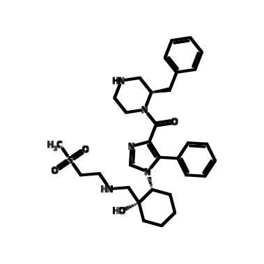 CS(=O)(=O)CCNC[C@]1(O)CCCC[C@H]1n1cnc(C(=O)N2CCNC[C@H]2Cc2ccccc2)c1-c1ccccc1